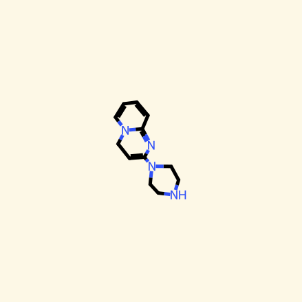 C1=CC2=NC(N3CCNCC3)=CCN2C=C1